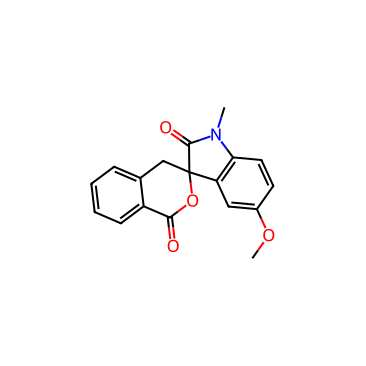 COc1ccc2c(c1)C1(Cc3ccccc3C(=O)O1)C(=O)N2C